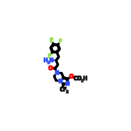 N[C@@H](CC(=O)N1CCn2c(C(F)(F)F)nc(OC(=O)O)c2C1)Cc1cc(F)c(F)cc1F